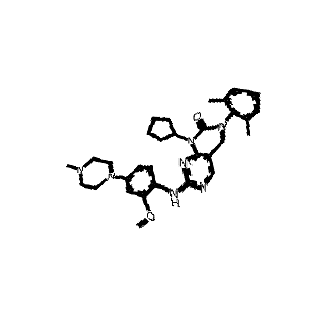 COc1cc(N2CCN(C)CC2)ccc1Nc1ncc2c(n1)N(C1CCCC1)C(=O)N(c1c(C)cccc1C)C2